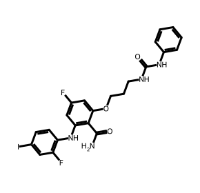 NC(=O)c1c(Nc2ccc(I)cc2F)cc(F)cc1OCCCNC(=O)Nc1ccccc1